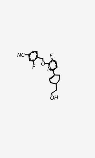 N#Cc1ccc(COc2nc(C3=CCC(CCO)CC3)ccc2F)c(F)c1